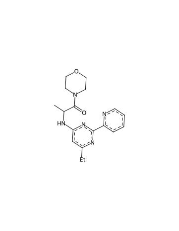 CCc1cc(NC(C)C(=O)N2CCOCC2)nc(-c2ccccn2)n1